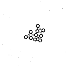 c1ccc(N(c2ccc3c(c2)C2(c4ccccc4-c4ccccc42)c2cccc(N(c4ccccc4)c4cccc5c4oc4ccccc45)c2-3)c2cccc3c2oc2ccccc23)cc1